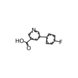 O=C(O)c1cncc(-c2ccc(F)cc2)c1